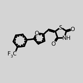 O=C1NC(=O)/C(=C\c2ccc(-c3cccc(C(F)(F)F)c3)o2)S1